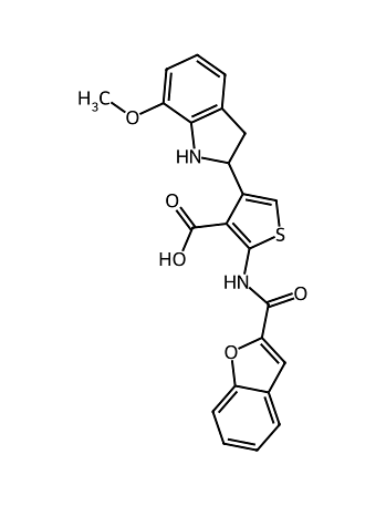 COc1cccc2c1NC(c1csc(NC(=O)c3cc4ccccc4o3)c1C(=O)O)C2